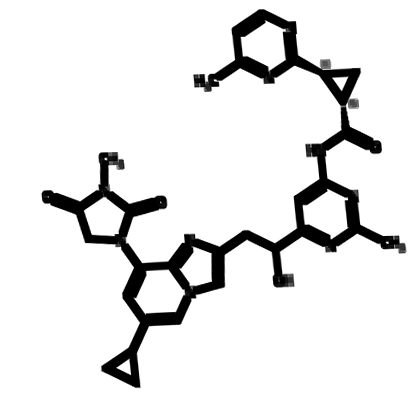 Cc1ccnc([C@H]2C[C@@H]2C(=O)Nc2cc(C(O)Cc3cn4cc(C5CC5)cc(N5CC(=O)N(C)C5=O)c4n3)nc(C)n2)n1